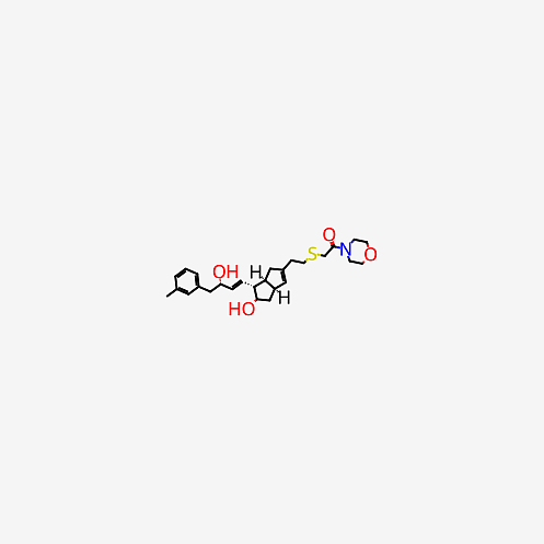 Cc1cccc(C[C@H](O)/C=C/[C@@H]2[C@H]3CC(CCSCC(=O)N4CCOCC4)=C[C@H]3C[C@H]2O)c1